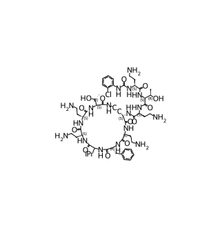 CC(C)C1NC(=O)[C@@H](Cc2ccccc2)NC(=O)[C@H](CCN)NC(=O)[C@@H](NC(=O)[C@H](CCN)NC(=O)[C@@H](NC(=O)[C@H](CCN)NC(=O)Nc2ccccc2Cl)[C@@H](C)O)CCNC(=O)[C@H]([C@@H](C)O)NC(=O)[C@H](CCN)NC(=O)[C@H](CCN)NC1=O